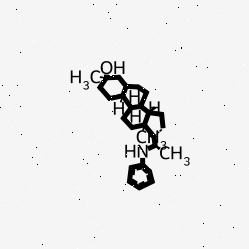 C[C@@H](Nc1ccccc1)[C@H]1CC[C@H]2[C@@H]3CCC4C[C@](C)(O)CC[C@@H]4[C@H]3CC[C@]12C